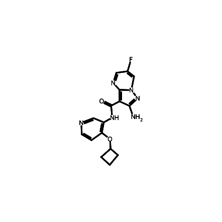 Nc1nn2cc(F)cnc2c1C(=O)Nc1cnccc1OC1CCC1